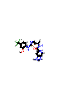 COc1cc(C(F)(F)F)ccc1Nc1ncc(C(C)NC(=O)c2cc3c(cn2)ncn3C)s1